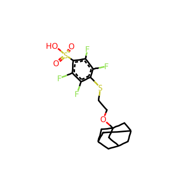 O=S(=O)(O)c1c(F)c(F)c(SCCOC23CC4CC(CC(C4)C2)C3)c(F)c1F